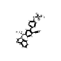 CN(c1ccc(C#N)c(-c2ccc(OS(N)(=O)=O)cn2)c1)n1cnc2ccccc21